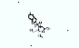 CC(C)N(CC(=O)O)S(=O)(=O)c1cc2cc(F)ccc2o1